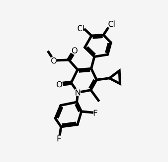 COC(=O)c1c(-c2ccc(Cl)c(Cl)c2)c(C2CC2)c(C)n(-c2ccc(F)cc2F)c1=O